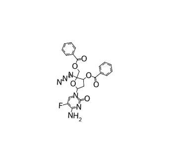 [N-]=[N+]=NC1(COC(=O)c2ccccc2)OC(n2cc(F)c(N)nc2=O)CC1OC(=O)c1ccccc1